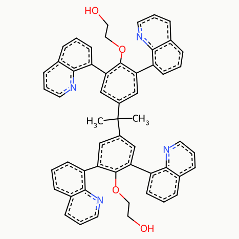 CC(C)(c1cc(-c2cccc3cccnc23)c(OCCO)c(-c2cccc3cccnc23)c1)c1cc(-c2cccc3cccnc23)c(OCCO)c(-c2cccc3cccnc23)c1